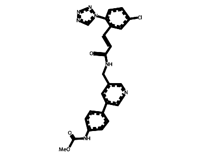 COC(=O)Nc1ccc(-c2cncc(CNC(=O)/C=C/c3cc(Cl)ccc3-n3cnnn3)c2)cc1